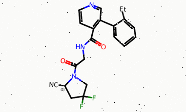 CCc1ccccc1-c1cnccc1C(=O)NCC(=O)N1CC(F)(F)C[C@H]1C#N